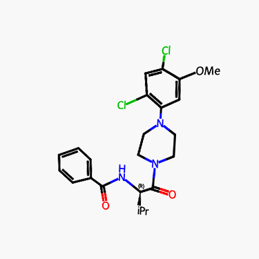 COc1cc(N2CCN(C(=O)[C@H](NC(=O)c3ccccc3)C(C)C)CC2)c(Cl)cc1Cl